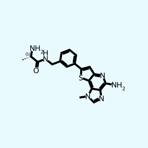 C[C@H](N)C(=O)NCc1cccc(-c2cc3nc(N)c4ncn(C)c4c3s2)c1